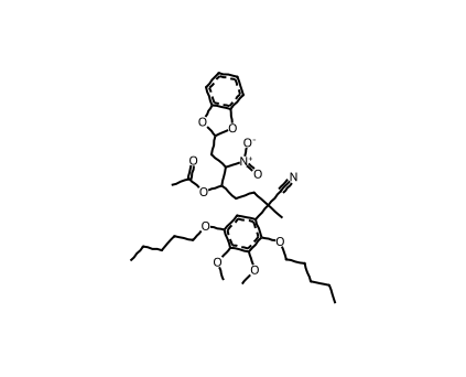 CCCCCOc1cc(C(C)(C#N)CCC(OC(C)=O)C(CC2Oc3ccccc3O2)[N+](=O)[O-])c(OCCCCC)c(OC)c1OC